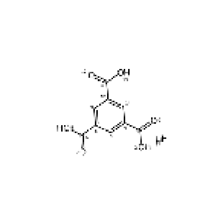 O=C(O)c1cc(C(=O)O)cc(C(=O)O)c1.[LiH]